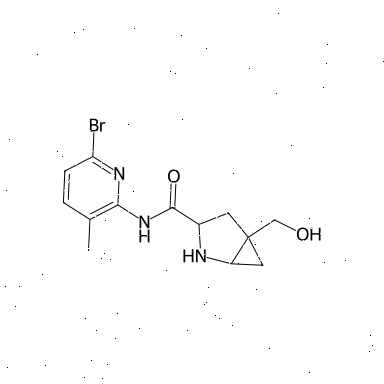 Cc1ccc(Br)nc1NC(=O)C1CC2(CO)CC2N1